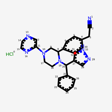 Cl.N#CCc1ccc(C2CN(c3cnccn3)CCN2C(c2ccccc2)c2cn[nH]c2)cc1